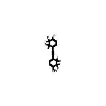 CCCC1=CC=C(C#CC2=CC=C(CCC)C(F)(F)C2(F)F)C(C)(F)C1(F)F